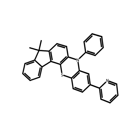 CC1(C)c2ccccc2-c2c1ccc1c2Sc2ccc(-c3ccccn3)cc2N1c1ccccc1